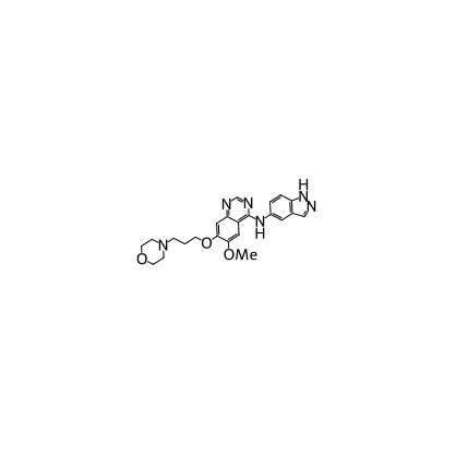 COc1cc2c(Nc3ccc4[nH]ncc4c3)ncnc2cc1OCCCN1CCOCC1